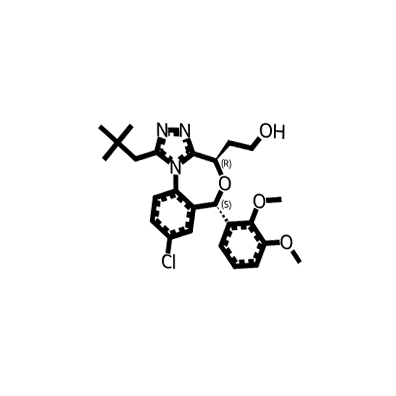 COc1cccc([C@H]2O[C@H](CCO)c3nnc(CC(C)(C)C)n3-c3ccc(Cl)cc32)c1OC